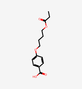 CCC(=O)OCCCCOc1ccc(C(=O)O)cc1